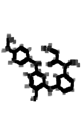 C=CC(=O)N(C)c1cccc(Oc2nc(Nc3ccc(OC)nc3)ncc2F)c1